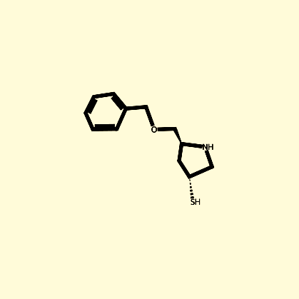 S[C@H]1CN[C@H](COCc2ccccc2)C1